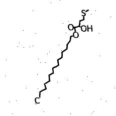 CCCCCCCCCCCCCCCCCCOC(=O)C(O)CCSC